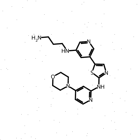 NCCCNc1cncc(-c2cnc(Nc3cc(N4CCOCC4)ccn3)s2)c1